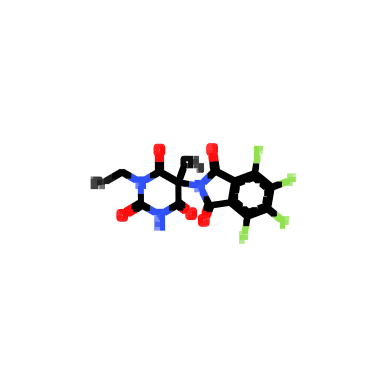 CC(C)CN1C(=O)NC(=O)C(C)(N2C(=O)c3c(F)c(F)c(F)c(F)c3C2=O)C1=O